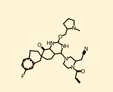 C=CC(=O)N1CCN(C2NC(OCC3CCCN3C)NC3C(=O)C4(CCc5ccc(F)cc5C4)CCC32)CC1CC#N